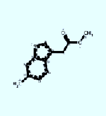 COC(=O)Cc1csc2cc(C)ccc12